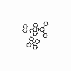 c1ccc(-c2cc(-c3ccccc3)cc(N(c3ccc(-c4ccc5c(c4)C(c4ccccc4)(c4ccccc4)c4ccccc4-5)cc3)c3ccccc3-c3cccc(-c4cccc5ccccc45)c3)c2)cc1